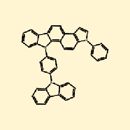 c1ccc(-n2ccc3c4ccc5c6ccccc6n(-c6ccc(-n7c8ccccc8c8ccccc87)cc6)c5c4ccc32)cc1